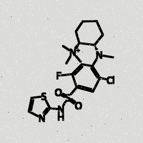 CN(c1cc(F)c(S(=O)(=O)Nc2nccs2)cc1Cl)[C@H]1CCCC[C@@H]1[N+](C)(C)C